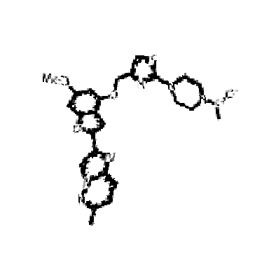 COc1cc(OCc2csc(N3CCN([S+](C)[O-])CC3)n2)c2cc(-c3cn4nc(C)ccc4n3)oc2c1